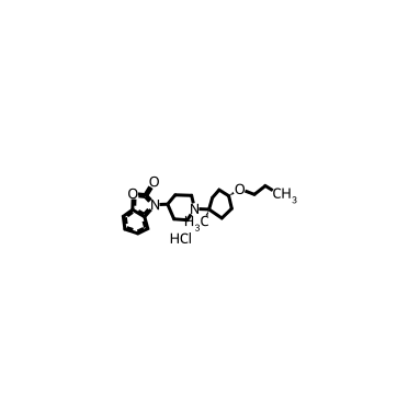 CCCO[C@H]1CC[C@](C)(N2CCC(n3c(=O)oc4ccccc43)CC2)CC1.Cl